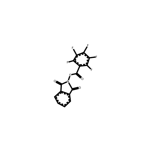 O=C(ON1C(=O)c2ccccc2C1=O)c1c(F)c(F)c(F)c(F)c1F